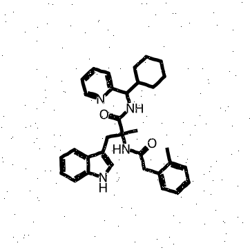 Cc1ccccc1CC(=O)NC(C)(Cc1c[nH]c2ccccc12)C(=O)NC(c1ccccn1)C1CCCCC1